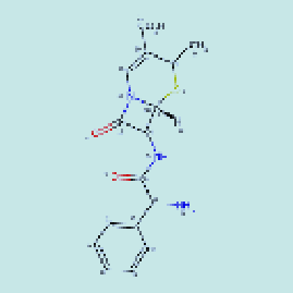 CC1S[C@@H]2C(NC(=O)C(N)c3ccccc3)C(=O)N2C=C1C(=O)O